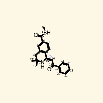 CBC(=O)c1ccc2c(c1)CC(C)(C)N/C2=C\C(=O)c1ccccc1